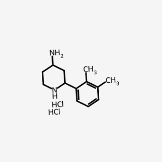 Cc1cccc(C2CC(N)CCN2)c1C.Cl.Cl